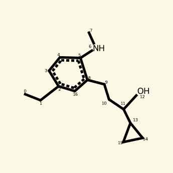 CCc1ccc(NC)c(CCC(O)C2CC2)c1